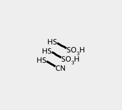 N#CS.O=S(=O)(O)S.O=S(=O)(O)S